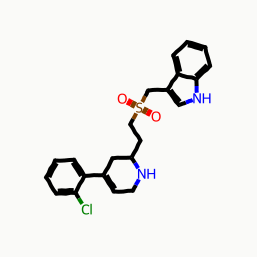 O=S(=O)(CCC1CC(c2ccccc2Cl)=CCN1)Cc1c[nH]c2ccccc12